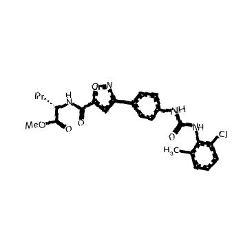 COC(=O)[C@@H](NC(=O)c1cc(-c2ccc(NC(=O)Nc3c(C)cccc3Cl)cc2)no1)C(C)C